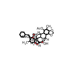 COc1c(C)cc2c(c1O)[C@H]1C3[C@@H]4SC[C@H](NC(=O)/C=C/c5ccccc5)C(=O)OC[C@@H](c5c6c(c(C)c(OC(C)=O)c54)OCO6)N3[C@@H](O)[C@@H](C2)N1C